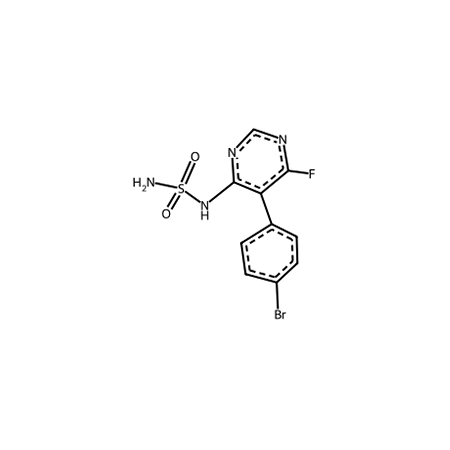 NS(=O)(=O)Nc1ncnc(F)c1-c1ccc(Br)cc1